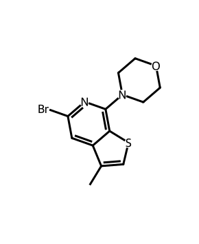 Cc1csc2c(N3CCOCC3)nc(Br)cc12